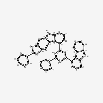 c1ccc(-c2nc(-c3cccc4oc5ccccc5c34)nc(-c3cccc4oc5cc6nc(-c7ccccc7)sc6cc5c34)n2)cc1